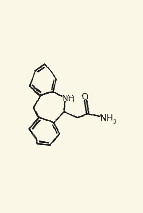 NC(=O)CC1Nc2ccccc2Cc2ccccc21